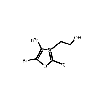 CCCc1c(Br)oc(Cl)[si]1CCO